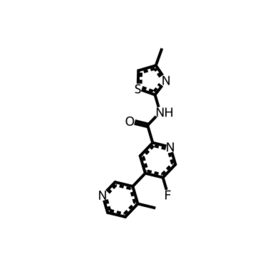 Cc1csc(NC(=O)c2cc(-c3cnccc3C)c(F)cn2)n1